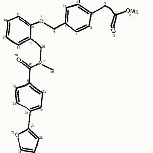 COC(=O)Cc1ccc(COc2ccccc2CN(C)C(=O)c2ccc(-c3ccco3)cc2)cc1